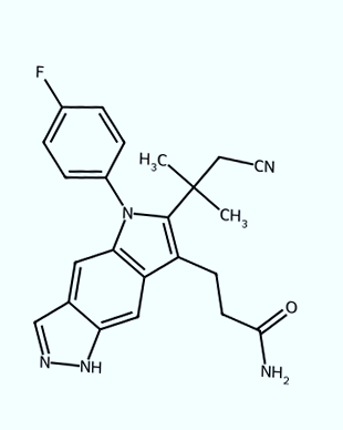 CC(C)(CC#N)c1c(CCC(N)=O)c2cc3[nH]ncc3cc2n1-c1ccc(F)cc1